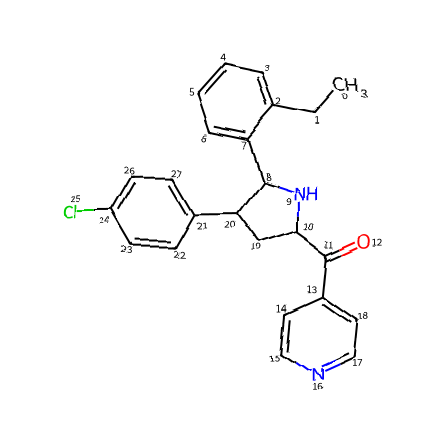 CCc1ccccc1C1NC(C(=O)c2ccncc2)CC1c1ccc(Cl)cc1